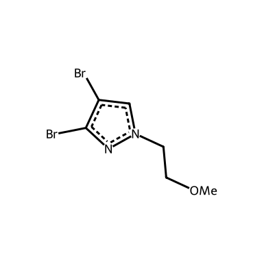 COCCn1cc(Br)c(Br)n1